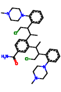 CC(c1ccc(C(N)=O)cc1C(C)C(CCl)c1ccccc1N1CCN(C)CC1)C(CCl)c1ccccc1N1CCN(C)CC1